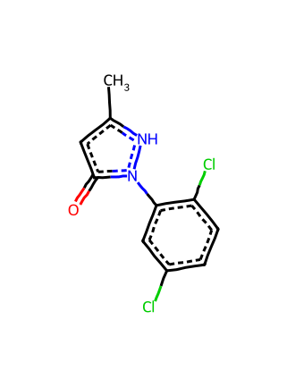 Cc1cc(=O)n(-c2cc(Cl)ccc2Cl)[nH]1